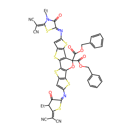 CCC1C(=O)/C(=N\c2cc3sc4c(c3s2)OC(C(=O)OCc2ccccc2)(C(=O)OCc2ccccc2)c2c-4sc3cc(/N=C4\SC(=C(C#N)C#N)N(CC)C4=O)sc23)SC1=C(C#N)C#N